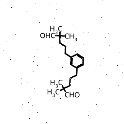 CC(C)(C=O)CCCc1cccc(CCCC(C)(C)C=O)c1